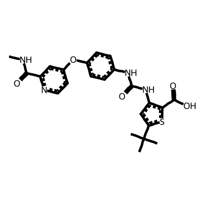 CNC(=O)c1cc(Oc2ccc(NC(=O)Nc3cc(C(C)(C)C)sc3C(=O)O)cc2)ccn1